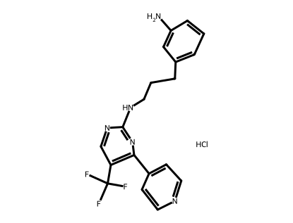 Cl.Nc1cccc(CCCNc2ncc(C(F)(F)F)c(-c3ccncc3)n2)c1